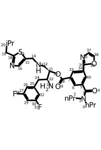 CCCN(CCC)C(=O)c1cc(C(=O)O[C@H](CNCc2cnc(CC(C)C)s2)[C@@H](N)Cc2cc(F)cc(F)c2)cc(-c2ncco2)c1